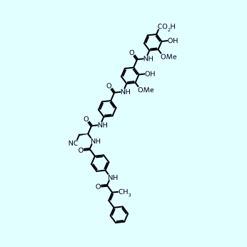 COc1c(NC(=O)c2ccc(NC(=O)c3ccc(NC(=O)[C@H](CC#N)NC(=O)c4ccc(NC(=O)/C(C)=C/c5ccccc5)cc4)cc3)c(OC)c2O)ccc(C(=O)O)c1O